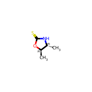 C[C@H]1NC(=S)O[C@@H]1C